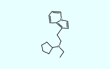 CCN(CCc1ccn2ccccc12)C1CCCC1